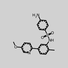 COc1ccc(-c2ccc(C)c(NS(=O)(=O)c3ccc(N)cc3)c2)nc1